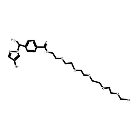 CC(=O)COCCOCCOCCOCCOCCNC(=O)c1ccc(C(C)n2cc(C(C)C)cn2)cc1